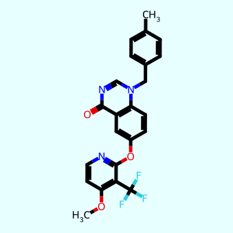 COc1ccnc(Oc2ccc3c(c2)c(=O)ncn3Cc2ccc(C)cc2)c1C(F)(F)F